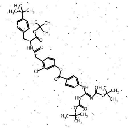 CC(C)(C)OC(=O)/N=C(/NC(=O)OC(C)(C)C)Nc1ccc(C(=O)Oc2ccc(CC(=O)N[C@@H](Cc3ccc(C(C)(C)C)cc3)C(=O)OC(C)(C)C)c(Cl)c2)cc1